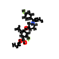 COC(=O)c1cc(C2CC2)c(OC2CCCN([C@@H](C)c3ccc(F)cc3)C2)cc1F